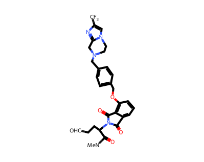 CNC(=O)C(CCC=O)N1C(=O)c2cccc(OCc3ccc(CN4CCn5cc(C(F)(F)F)nc5C4)cc3)c2C1=O